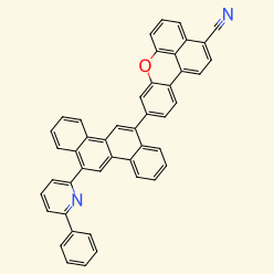 N#Cc1ccc2c3c(cccc13)Oc1cc(-c3cc4c5ccccc5c(-c5cccc(-c6ccccc6)n5)cc4c4ccccc34)ccc1-2